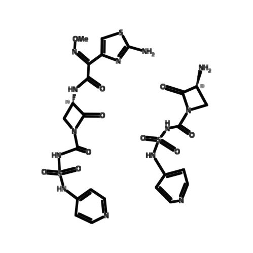 CON=C(C(=O)N[C@H]1CN(C(=O)NS(=O)(=O)Nc2ccncc2)C1=O)c1csc(N)n1.N[C@H]1CN(C(=O)NS(=O)(=O)Nc2ccncc2)C1=O